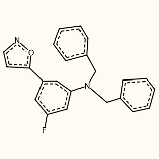 Fc1cc(-c2ccno2)cc(N(Cc2ccccc2)Cc2ccccc2)c1